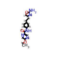 CCOc1cnc(C(=O)Nc2ccc(CC[C@H]3COC(N)=N3)cc2)cn1